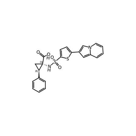 O=C(O)[C@]1(NS(=O)(=O)c2ccc(-c3cc4ccccn4c3)s2)C[C@@H]1c1ccccc1